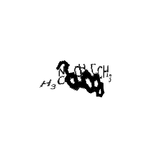 Cc1ccc2c(oc3cc4c(cc32)-c2ccccc2C4(C)C)c1-c1ccccn1